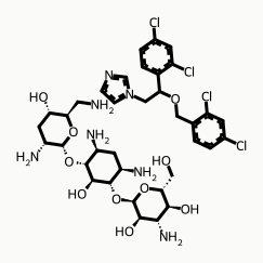 Clc1ccc(COC(Cn2ccnc2)c2ccc(Cl)cc2Cl)c(Cl)c1.NC[C@H]1O[C@H](O[C@H]2[C@H](O)[C@@H](O[C@H]3O[C@H](CO)[C@@H](O)[C@H](N)[C@H]3O)[C@H](N)C[C@@H]2N)[C@H](N)C[C@@H]1O